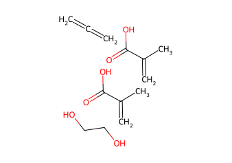 C=C(C)C(=O)O.C=C(C)C(=O)O.C=C=C.OCCO